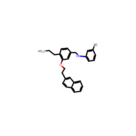 [C-]#[N+]c1cccc(NCc2ccc(CCC(=O)O)c(OCCc3ccc4ccccc4c3)c2)c1